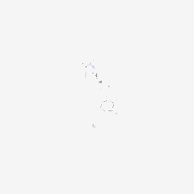 BCCc1ccc(CC2CN(N/C=C\N)C2)c(C)c1